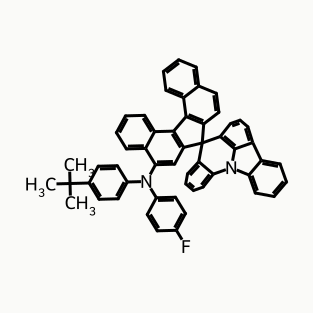 CC(C)(C)c1ccc(N(c2ccc(F)cc2)c2cc3c(c4ccccc24)-c2c(ccc4ccccc24)C32c3ccccc3-n3c4ccccc4c4cccc2c43)cc1